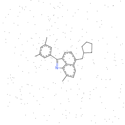 Cc1cc(C)cc(C2=Nc3c(C)ccc4c(CC5CCCC5)ccc2c34)c1